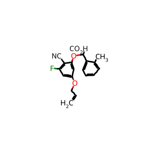 C=CCOc1cc(F)c(C#N)c(OC(C(=O)O)c2ccccc2C)c1